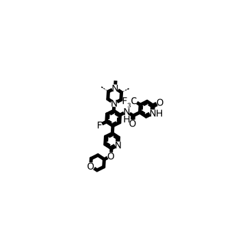 C[C@@H]1CN(c2cc(F)c(-c3ccc(OC4CCOCC4)nc3)cc2NC(=O)c2c[nH]c(=O)cc2C(F)(F)F)C[C@H](C)N1C